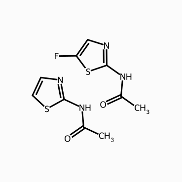 CC(=O)Nc1ncc(F)s1.CC(=O)Nc1nccs1